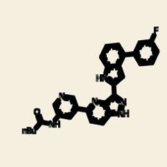 CCCCC(=O)Nc1cncc(-c2ccc3[nH]nc(-c4cc5c(-c6cccc(F)c6)cccc5[nH]4)c3n2)c1